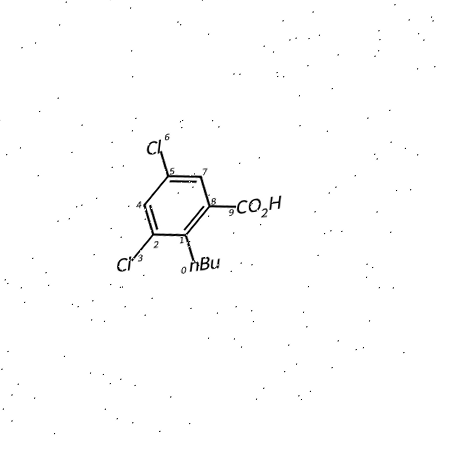 CCCCc1c(Cl)cc(Cl)cc1C(=O)O